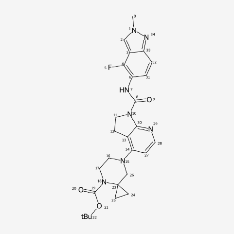 Cn1cc2c(F)c(NC(=O)N3CCc4c(N5CCN(C(=O)OC(C)(C)C)C6(CC6)C5)ccnc43)ccc2n1